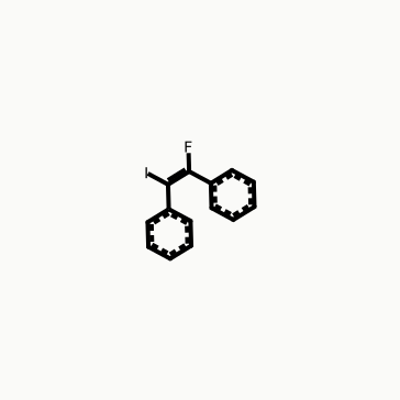 F/C(=C(\I)c1ccccc1)c1ccccc1